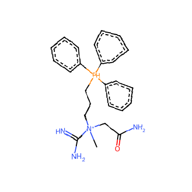 C[N+](CCC[PH](c1ccccc1)(c1ccccc1)c1ccccc1)(CC(N)=O)C(=N)N